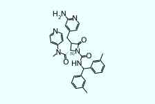 Cc1cccc(C(NC(=O)N2C(=O)C(Cc3ccnc(N)c3)[C@H]2C(=O)N(C)c2ccncc2)c2cccc(C)c2)c1